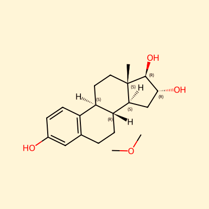 COC.C[C@]12CC[C@@H]3c4ccc(O)cc4CC[C@H]3[C@@H]1C[C@@H](O)[C@@H]2O